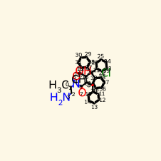 C[C@@H](CN)N(C)C(=O)C(Cc1ccccc1)[C@@H](C(=O)O)C(c1ccccc1)(c1ccccc1)c1ccccc1Cl